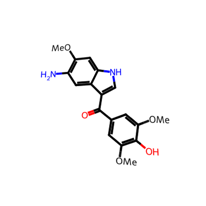 COc1cc2[nH]cc(C(=O)c3cc(OC)c(O)c(OC)c3)c2cc1N